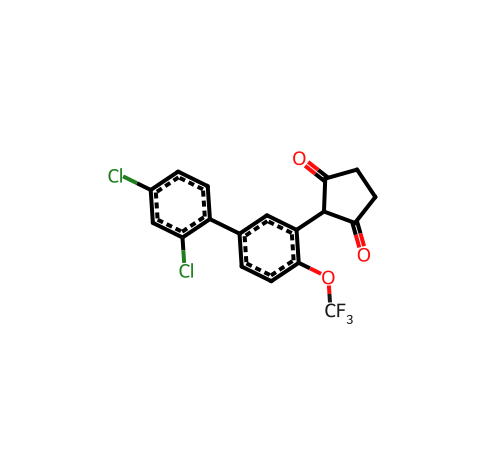 O=C1CCC(=O)C1c1cc(-c2ccc(Cl)cc2Cl)ccc1OC(F)(F)F